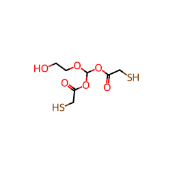 O=C(CS)OC(OCCO)OC(=O)CS